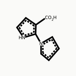 O=C(O)c1cc[nH]c1-n1cccc1